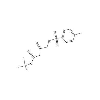 Cc1ccc(S(=O)(=O)OCC(=O)CC(=O)OC(C)(C)C)cc1